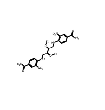 CCO[C@@H](CNc1ccc(C(N)=O)cc1[N+](=O)[O-])[C@H](CNc1ccc(C(N)=O)cc1[N+](=O)[O-])OCC